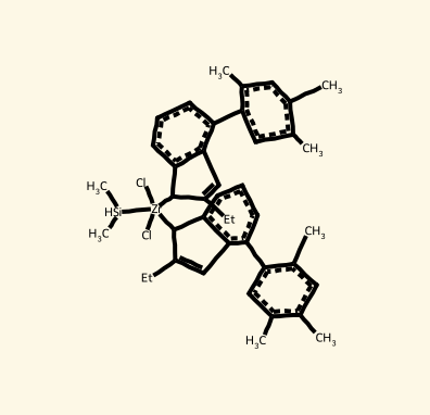 CCC1=Cc2c(-c3cc(C)c(C)cc3C)cccc2[CH]1[Zr]([Cl])([Cl])([CH]1C(CC)=Cc2c(-c3cc(C)c(C)cc3C)cccc21)[SiH](C)C